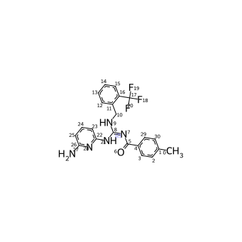 Cc1ccc(C(=O)/N=C(/NCc2ccccc2C(F)(F)F)Nc2cccc(N)n2)cc1